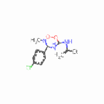 C=C(CC)NC1NC(c2ccc(Cl)cc2)N(C)OO1